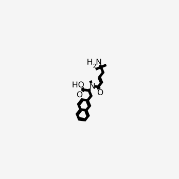 CN(C(=O)/C=C/CC(C)(C)N)C(Cc1ccc2ccccc2c1)C(=O)O